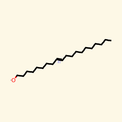 CCCCCCCCCC/C=C/CCCCCCCC[O]